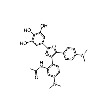 CC(=O)Nc1cc(N(C)C)ccc1-c1nc(-c2cc(O)c(O)c(O)c2)oc1-c1ccc(N(C)C)cc1